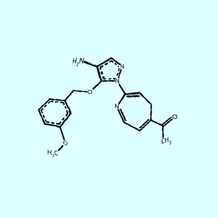 COc1cccc(COc2c(N)cnn2C2=CCC(C(C)=O)=CC=N2)c1